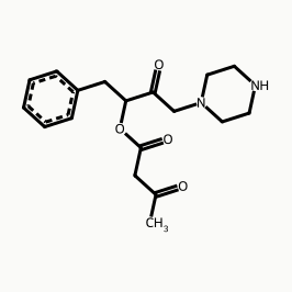 CC(=O)CC(=O)OC(Cc1ccccc1)C(=O)CN1CCNCC1